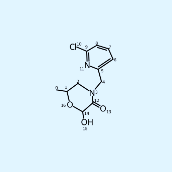 CC1CN(Cc2cccc(Cl)n2)C(=O)C(O)O1